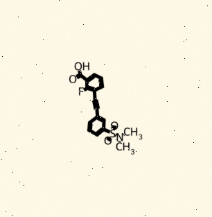 CN(C)S(=O)(=O)c1cccc(C#Cc2cccc(C(=O)O)c2F)c1